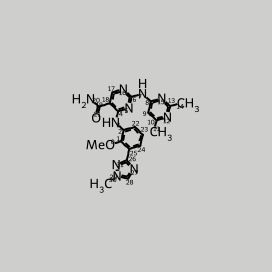 COc1c(Nc2nc(Nc3cc(C)nc(C)n3)ncc2C(N)=O)cccc1-c1ncn(C)n1